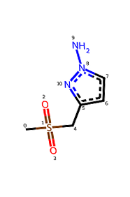 CS(=O)(=O)Cc1ccn(N)n1